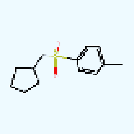 Cc1ccc(S(=O)(=O)CC2CCCC2)cc1